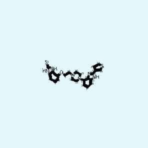 S=c1[nH]c2cccc(OCCN3CCN(c4cccc5[nH]c(-c6ccsc6)nc45)CC3)c2[nH]1